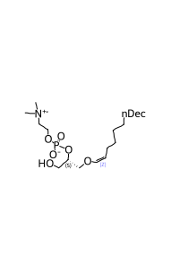 CCCCCCCCCCCCCC/C=C\OC[C@H](CO)OP(=O)([O-])OCC[N+](C)(C)C